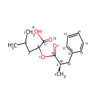 CC(C)CC(OC(=O)[C@H](C)Cc1ccccc1)C(=O)O